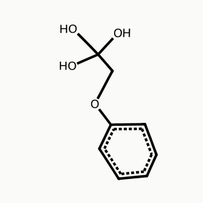 OC(O)(O)COc1ccccc1